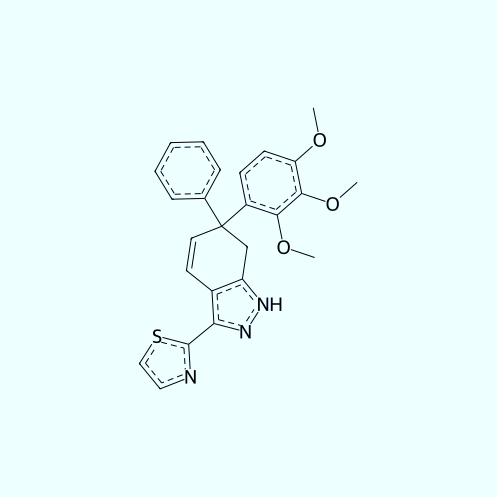 COc1ccc(C2(c3ccccc3)C=Cc3c(-c4nccs4)n[nH]c3C2)c(OC)c1OC